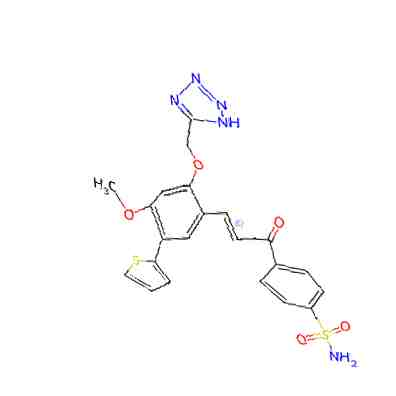 COc1cc(OCc2nnn[nH]2)c(/C=C/C(=O)c2ccc(S(N)(=O)=O)cc2)cc1-c1cccs1